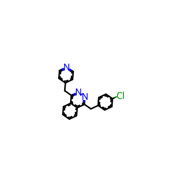 Clc1ccc(Cc2nnc(Cc3ccncc3)c3ccccc23)cc1